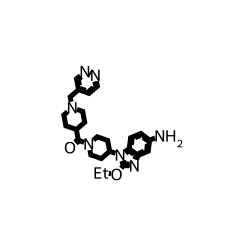 CCOc1nc2cc(N)ccc2n1C1CCN(C(=O)C2CCN(Cc3ccnnc3)CC2)CC1